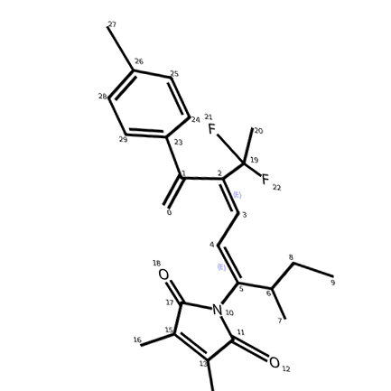 C=C(/C(=C\C=C(/C(C)CC)N1C(=O)C(C)=C(C)C1=O)C(C)(F)F)c1ccc(C)cc1